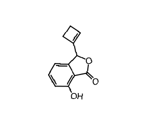 O=C1OC(C2=CCC2)c2cccc(O)c21